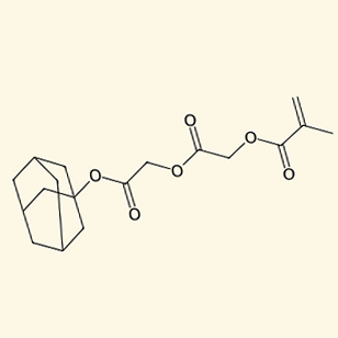 C=C(C)C(=O)OCC(=O)OCC(=O)OC12CC3CC(CC(C3)C1)C2